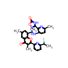 Cc1cc([C@@H](C)Nc2ccc(C)nc2-c2noc(=O)[nH]2)c2oc(-c3cccc(C(C)F)n3)c(C)c(=O)c2c1